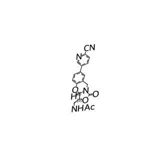 CC(=O)NC[C@@H]1OC(=O)N2Cc3cc(-c4ccc(C#N)nc4)ccc3O[C@@H]12